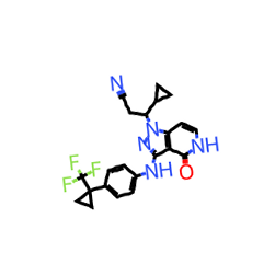 N#CCC(C1CC1)n1nc(Nc2ccc(C3(C(F)(F)F)CC3)cc2)c2c(=O)[nH]ccc21